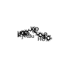 CC(C)(C)[Si](C)(C)OC(CCC1CCC(=O)N1CCCc1ccc(C(=O)C(O)c2ccccc2)cc1)Cc1ccc(F)cc1